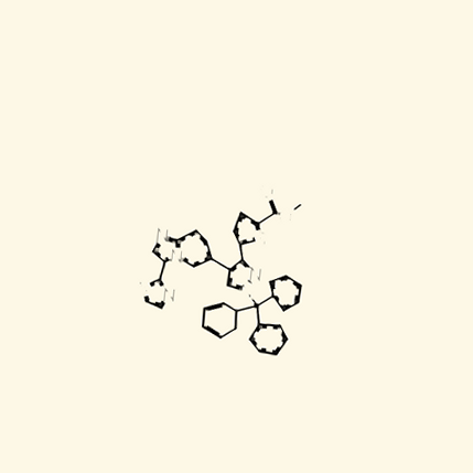 COC(=O)c1ccc(-c2nn(C(c3ccccc3)(c3ccccc3)C3C=CC=CC3)cc2-c2ccc3ncc(-c4nccs4)n3c2)s1